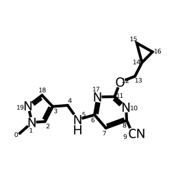 Cn1cc(CNc2cc(C#N)nc(OCC3CC3)n2)cn1